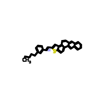 CCCCCc1cccc(/C=C/c2cc3c(ccc4c5cc6ccccc6cc5ccc34)s2)c1